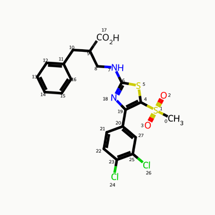 CS(=O)(=O)c1sc(NCC(Cc2ccccc2)C(=O)O)nc1-c1ccc(Cl)c(Cl)c1